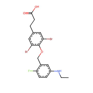 CCNc1ccc(F)c(COc2c(Br)cc(CCC(=O)O)cc2Br)c1